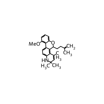 C=C(C)CCC1Oc2cccc(OC)c2-c2ccc3c(c21)C(C)=CC(C)(C)N3